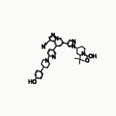 CC(C)(C)C1CC(n2cc(-c3cc(-c4ccc(N5CCC(c6ccc(O)cc6)CC5)nc4)c4c(C#N)cnn4c3)cn2)CCN1C(=O)O